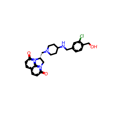 O=c1ccc2ccc(=O)n3c2n1C[C@H]3CN1CCC(NCc2ccc(CO)c(Cl)c2)CC1